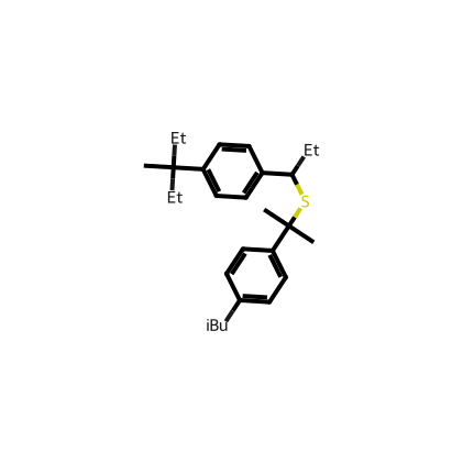 CCC(C)c1ccc(C(C)(C)SC(CC)c2ccc(C(C)(CC)CC)cc2)cc1